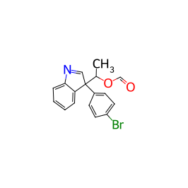 CC(OC=O)C1(c2ccc(Br)cc2)C=Nc2ccccc21